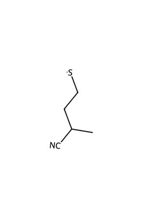 CC(C#N)CC[S]